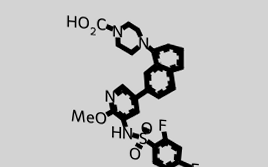 COc1ncc(-c2ccc3cccc(N4CCN(C(=O)O)CC4)c3c2)cc1NS(=O)(=O)c1ccc(F)cc1F